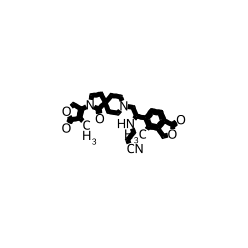 CC1=C(N2CCC3(CCN(CC(NCCC#N)c4ccc5c(c4C)COC5=O)CC3)C2=O)COC1=O